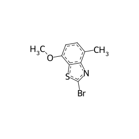 COc1ccc(C)c2nc(Br)sc12